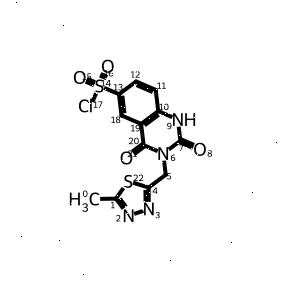 Cc1nnc(Cn2c(=O)[nH]c3ccc(S(=O)(=O)Cl)cc3c2=O)s1